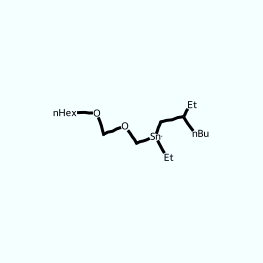 CCCCCCOCO[CH2][Sn]([CH2]C)[CH2]C(CC)CCCC